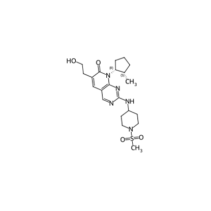 C[C@H]1CCC[C@H]1n1c(=O)c(CCO)cc2cnc(NC3CCN(S(C)(=O)=O)CC3)nc21